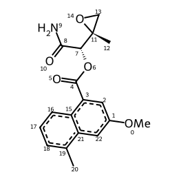 COc1cc(C(=O)O[C@H](C(N)=O)[C@@]2(C)CO2)c2cccc(C)c2c1